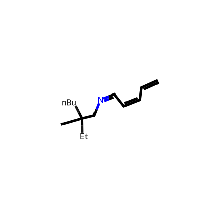 C=C/C=C\C=N/CC(C)(CC)CCCC